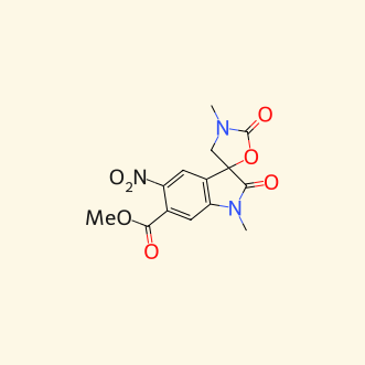 COC(=O)c1cc2c(cc1[N+](=O)[O-])C1(CN(C)C(=O)O1)C(=O)N2C